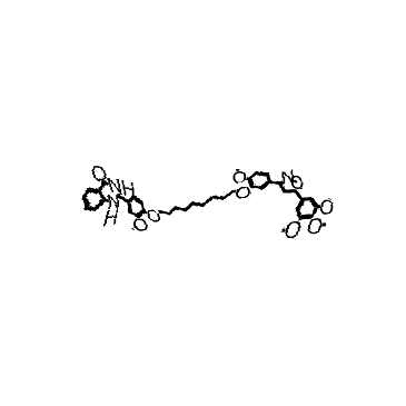 COc1cc(C2NC(=O)c3ccccc3N2)ccc1OCCCCCCCCCOc1cc(C2=NOC(c3cc(OC)c(OC)c(OC)c3)C2)ccc1OC